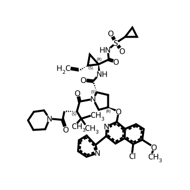 C=C[C@@H]1C[C@]1(NC(=O)[C@@H]1C[C@@H](Oc2nc(-c3ccccn3)cc3c(Cl)c(OC)ccc23)CN1C(=O)[C@@H](CC(=O)N1CCCCC1)C(C)(C)C)C(=O)NS(=O)(=O)C1CC1